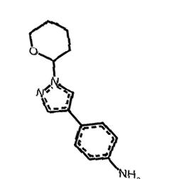 Nc1ccc(-c2cnn(C3CCCCO3)c2)cc1